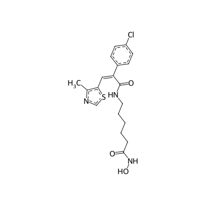 Cc1ncsc1C=C(C(=O)NCCCCCC(=O)NO)c1ccc(Cl)cc1